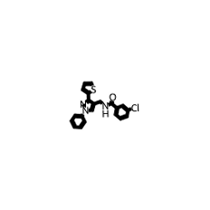 O=C(NCc1cn(-c2ccccc2)nc1-c1cccs1)c1cccc(Cl)c1